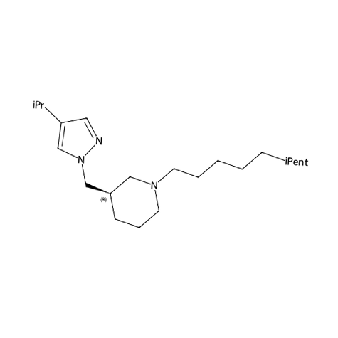 CCCC(C)CCCCCN1CCC[C@@H](Cn2cc(C(C)C)cn2)C1